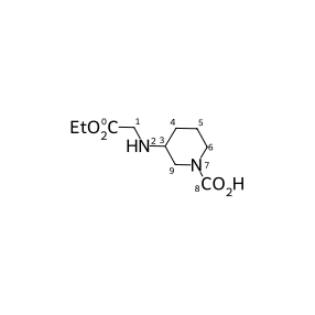 CCOC(=O)CNC1CCCN(C(=O)O)C1